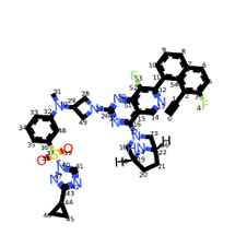 C#Cc1c(F)ccc2cccc(-c3ncc4c(N5C[C@H]6CC[C@@H](C5)N6)nc(N5CC(N(C)c6cccc(S(=O)(=O)n7cnc(C8CC8)n7)c6)C5)nc4c3F)c12